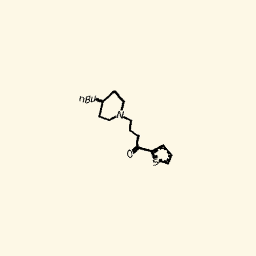 CCCCC1CCN(CCCC(=O)c2cccs2)CC1